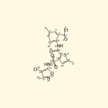 CCC(=O)c1cc(C)cc(C)c1NC(=O)c1sc(C)cc1S(=O)(=O)Nc1onc(C)c1Cl